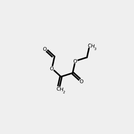 C=C(OC=O)C(=O)OCC